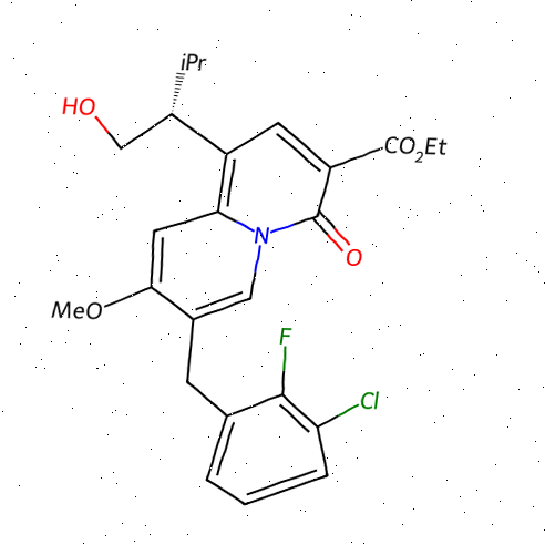 CCOC(=O)c1cc([C@H](CO)C(C)C)c2cc(OC)c(Cc3cccc(Cl)c3F)cn2c1=O